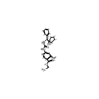 CCOc1n[nH]c2cc(NC(=O)N[C@@H](c3ccccc3)C3(O)CCCC3)ncc12